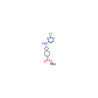 CC(C)(C)OC(=O)N1CCC2(CC1)CC(Nc1ccnc(Cl)n1)C2